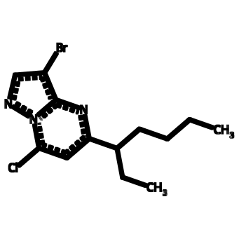 CCCCC(CC)c1cc(Cl)n2ncc(Br)c2n1